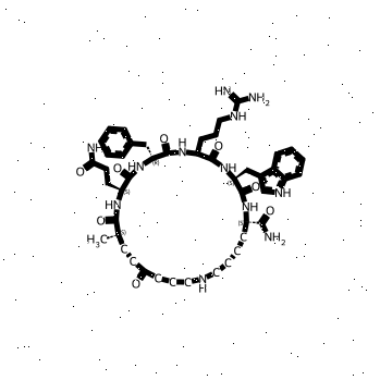 C[C@H]1CCC(=O)CCCNCCCC[C@@H](C(N)=O)NC(=O)[C@H](Cc2c[nH]c3ccccc23)NC(=O)C(CCCNC(=N)N)NC(=O)[C@@H](Cc2ccccc2)NC(=O)[C@H](CCC(N)=O)NC1=O